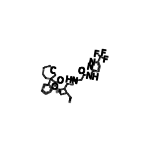 C=CC1C[C@H](OC(=O)C2(c3ccccc3)CCCCCC2)C1CCNCC(=O)Nc1ccc(C(F)(F)F)nn1